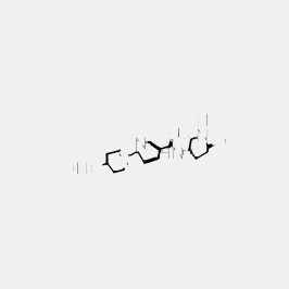 O=CC1CCN(c2ccc(C(=O)N[C@H]3CCC(=O)NC3=O)cn2)CC1